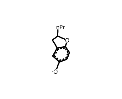 CCCC1Cc2cc([O])ccc2O1